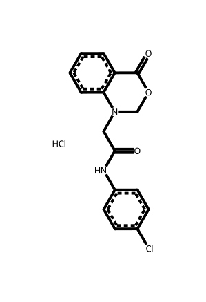 Cl.O=C(CN1COC(=O)c2ccccc21)Nc1ccc(Cl)cc1